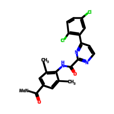 CNC(=O)c1cc(C)c(NC(=O)c2nccc(-c3cc(Cl)ccc3Cl)n2)c(C)c1